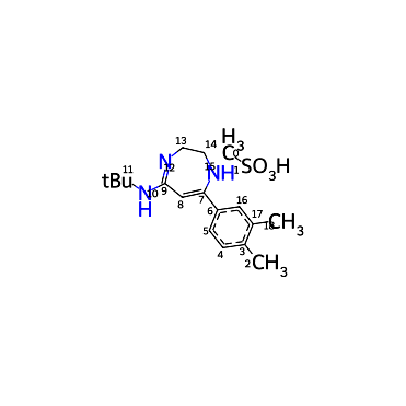 CS(=O)(=O)O.Cc1ccc(C2=CC(NC(C)(C)C)=NCCN2)cc1C